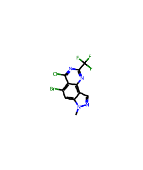 Cn1ncc2c3nc(C(F)(F)F)nc(Cl)c3c(Br)cc21